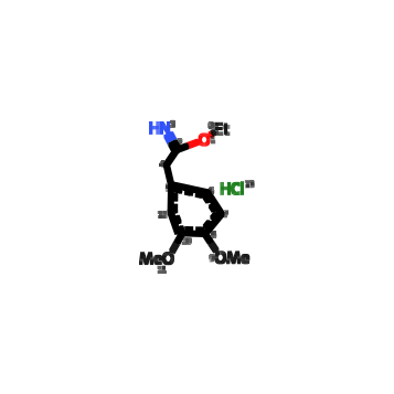 CCOC(=N)Cc1ccc(OC)c(OC)c1.Cl